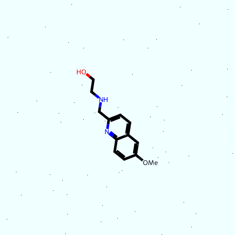 COc1ccc2nc(CNCCO)ccc2c1